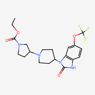 CCOC(=O)N1CCC(N2CCC(n3c(=O)[nH]c4ccc(OC(F)(F)F)cc43)CC2)C1